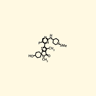 CSN1CCC(Nc2ncc(F)c(-c3sc4c(c3C)C(=O)N(C)C43CCC(O)CC3)n2)CC1